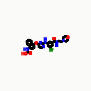 O=C(O)Nc1ccc(Oc2ccnc(Nc3cc(Br)cc(C(=O)NCCN4CCOCC4)c3)n2)c2ccccc12